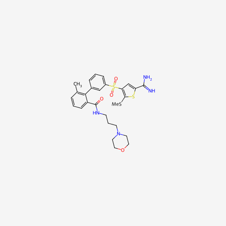 CSc1sc(C(=N)N)cc1S(=O)(=O)c1cccc(-c2c(C)cccc2C(=O)NCCCN2CCOCC2)c1